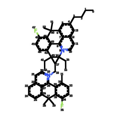 CCCCc1cc2c3c4[n+](ccc3c1)C1(CC)C(C[n+]3ccc5cccc6c5c3-c3c(C)ccc(F)c3C6(C)C)C1(CC)c1ccc(F)c(c1-4)C2(C)C